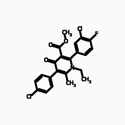 CCn1c(C)c(-c2ccc(Cl)cc2)c(=O)c(C(=O)OC)c1-c1ccc(F)c(Cl)c1